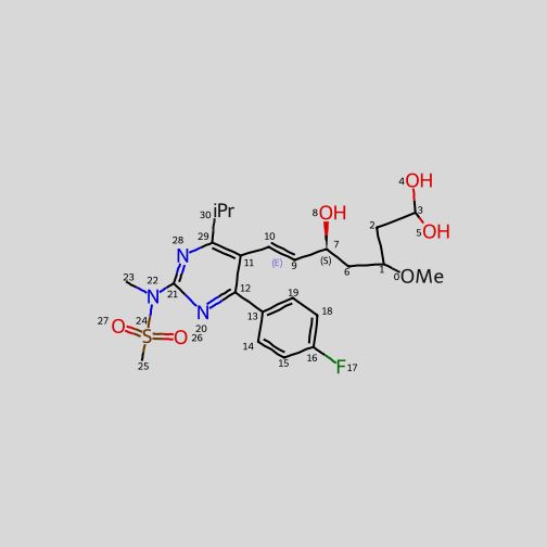 COC(CC(O)O)C[C@H](O)/C=C/c1c(-c2ccc(F)cc2)nc(N(C)S(C)(=O)=O)nc1C(C)C